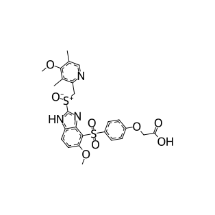 COc1ccc2[nH]c([S+]([O-])Cc3ncc(C)c(OC)c3C)nc2c1S(=O)(=O)c1ccc(OCC(=O)O)cc1